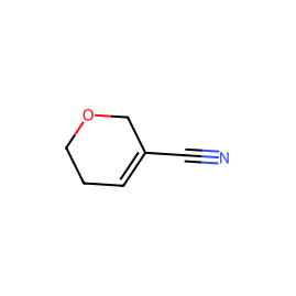 N#CC1=CCCOC1